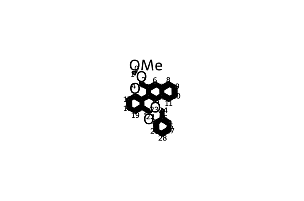 COCOC(=O)c1cc2ccccc2cc1-c1ccccc1C(=O)OCc1ccccc1